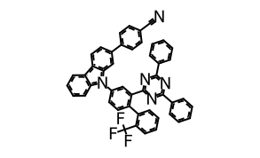 N#Cc1ccc(-c2ccc3c4ccccc4n(-c4ccc(-c5ccccc5C(F)(F)F)c(-c5nc(-c6ccccc6)nc(-c6ccccc6)n5)c4)c3c2)cc1